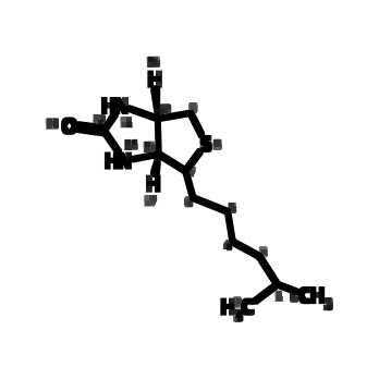 CC(C)CCCCC1SC[C@H]2NC(=O)N[C@@H]12